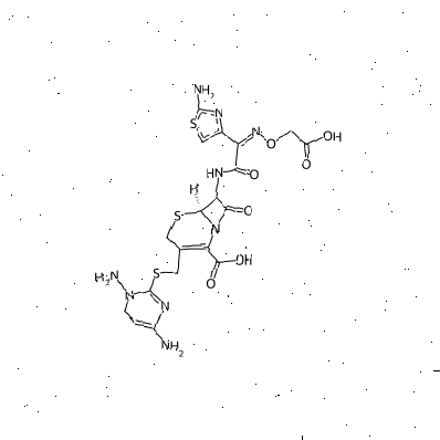 NC1=CCN(N)C(SCC2=C(C(=O)O)N3C(=O)C(NC(=O)/C(=N\OCC(=O)O)c4csc(N)n4)[C@@H]3SC2)=N1